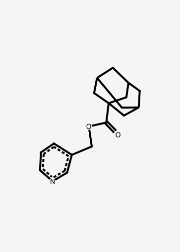 O=C(OCc1cccnc1)C12CC3CC(CC(C3)C1)C2